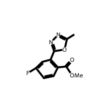 COC(=O)c1ccc(F)cc1-c1nnc(C)o1